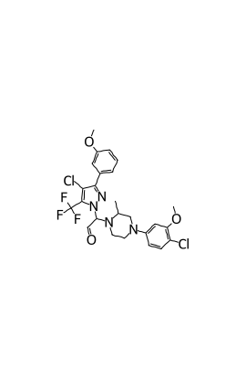 COc1cccc(-c2nn(C(C=O)N3CCN(c4ccc(Cl)c(OC)c4)CC3C)c(C(F)(F)F)c2Cl)c1